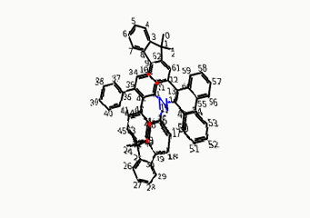 CC1(C)c2ccccc2-c2ccc(-c3c(N(c4ccc5c(c4)C(C)(C)c4ccccc4-5)c4cccc(-c5ccccc5)c4-c4ccccc4)c4ccccc4c4ccccc34)cc21